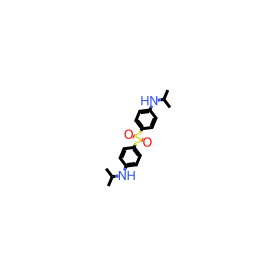 CC(C)Nc1ccc(S(=O)(=O)c2ccc(NC(C)C)cc2)cc1